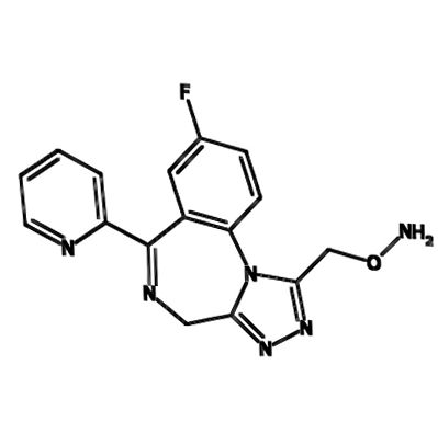 NOCc1nnc2n1-c1ccc(F)cc1C(c1ccccn1)=NC2